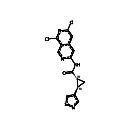 O=C(Nc1cc2cc(Cl)nc(Cl)c2cn1)[C@@H]1C[C@H]1c1cnsc1